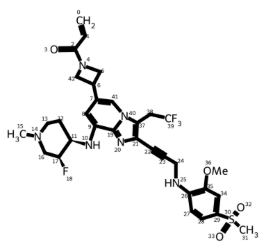 C=CC(=O)N1CC(c2cc(N[C@@H]3CCN(C)C[C@@H]3F)c3nc(C#CCNc4ccc(S(C)(=O)=O)cc4OC)c(CC(F)(F)F)n3c2)C1